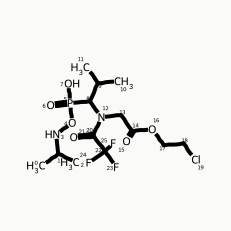 CC(C)NOP(=O)(O)C(C(C)C)N(CC(=O)OCCCl)C(=O)C(F)(F)F